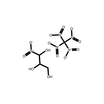 O=[N+]([O-])C(O)C(O)CO.O=[N+]([O-])C([N+](=O)[O-])([N+](=O)[O-])[N+](=O)[O-]